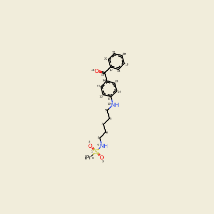 CC(C)S(=O)(=O)NCCCCCNc1ccc(C(=O)c2ccccc2)cc1